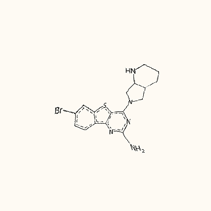 Nc1nc(N2CC3CCCNC3C2)c2sc3cc(Br)ccc3c2n1